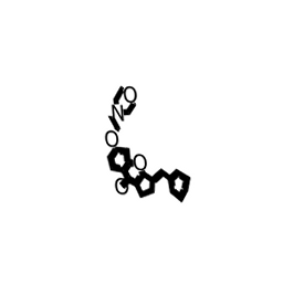 O=c1c2c(oc3cc(OCCN4CCOCC4)ccc13)/C(=C/c1ccccc1)CC2